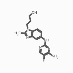 Cc1nc2cc(Nc3ncc(F)c(N)n3)ccc2n1CCCO